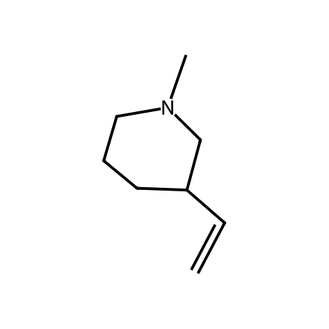 C=CC1CCCN(C)C1